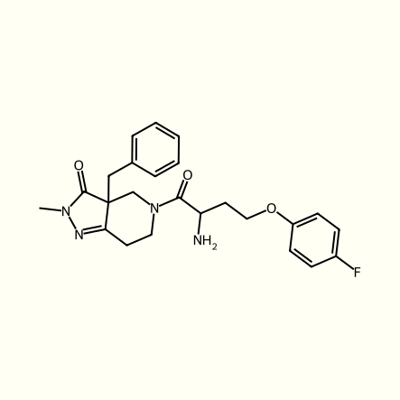 CN1N=C2CCN(C(=O)C(N)CCOc3ccc(F)cc3)CC2(Cc2ccccc2)C1=O